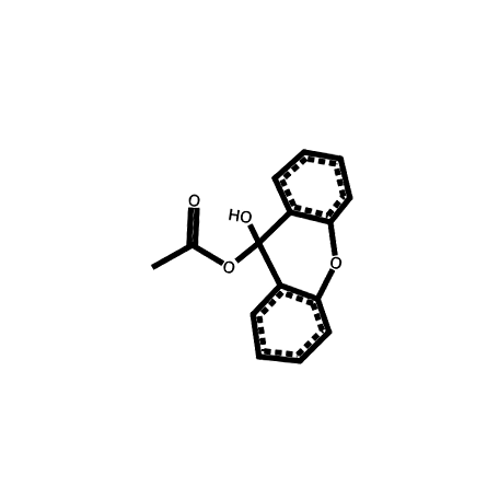 CC(=O)OC1(O)c2ccccc2Oc2ccccc21